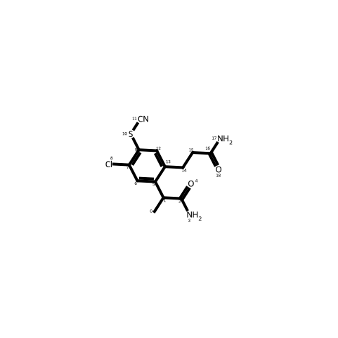 CC(C(N)=O)c1cc(Cl)c(SC#N)cc1CCC(N)=O